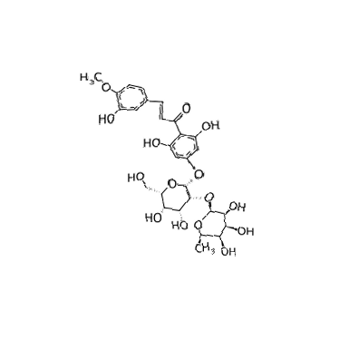 COc1ccc(/C=C/C(=O)c2c(O)cc(O[C@H]3O[C@@H](CO)[C@@H](O)[C@@H](O)[C@H]3O[C@@H]3O[C@H](C)[C@H](O)[C@H](O)[C@@H]3O)cc2O)cc1O